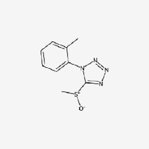 Cc1ccccc1-n1nnnc1[S+](C)[O-]